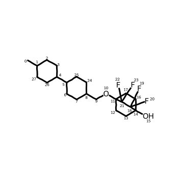 CC1CCC(C2CCC(COC34CCC(O)(CC3)C(F)(F)C4(F)F)CC2)CC1